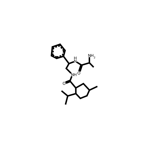 CC1CCC(C(C)C)C(C(=O)NCC(NC(=O)C(C)N)c2ccccc2)C1